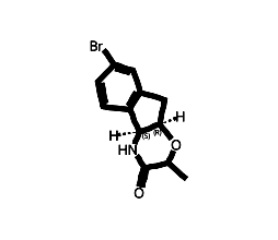 CC1O[C@@H]2Cc3cc(Br)ccc3[C@@H]2NC1=O